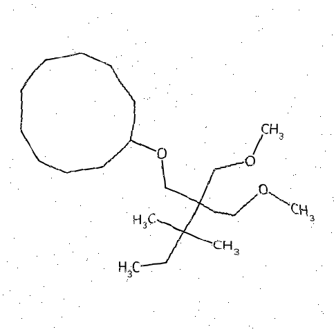 CCC(C)(C)C(COC)(COC)COC1CCCCCCCCC1